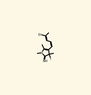 CC/C(C)=C/C=C\C1=C(C)N(C)C(=N)C1(C)I